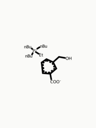 CCCC[P+](CC)(CCCC)CCCC.O=C([O-])c1cccc(CO)c1